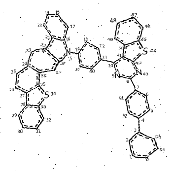 c1ccc(-c2ccc(-c3nc(-c4ccc(-n5c6ccccc6c6cc7ccc8c9ccccc9sc8c7cc65)cc4)c4c(n3)sc3ccccc34)cc2)cc1